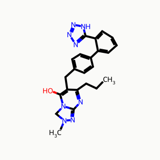 CCCC1=NC2=NN(C)CN2C(O)=C1Cc1ccc(-c2ccccc2-c2nnn[nH]2)cc1